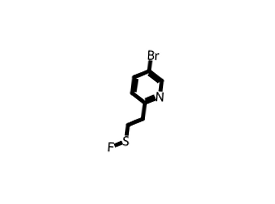 FSCCc1ccc(Br)cn1